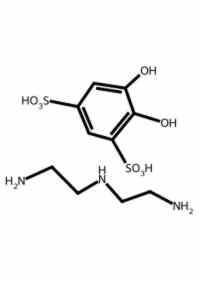 NCCNCCN.O=S(=O)(O)c1cc(O)c(O)c(S(=O)(=O)O)c1